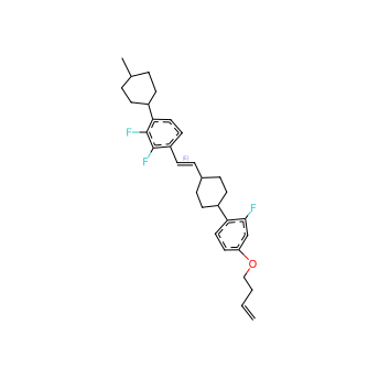 C=CCCOc1ccc(C2CCC(/C=C/c3ccc(C4CCC(C)CC4)c(F)c3F)CC2)c(F)c1